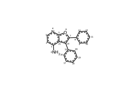 Nc1ccnc2oc(-c3ccccc3)c(-c3ccccc3)c12